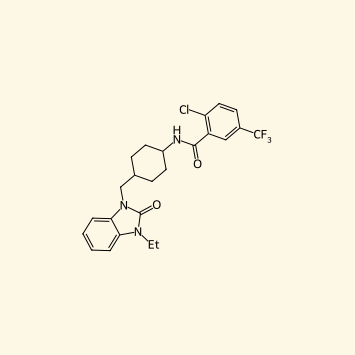 CCn1c(=O)n(CC2CCC(NC(=O)c3cc(C(F)(F)F)ccc3Cl)CC2)c2ccccc21